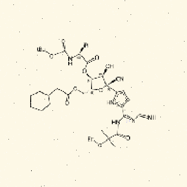 CCOC(C)(C)C(=O)N/C(=N/C=N)c1ccc([C@]2(C#N)O[C@H](COC(=O)CC3CCCCC3)[C@@H](OC(=O)[C@@H](NC(=O)OC(C)(C)C)C(C)C)[C@H]2O)[nH]1